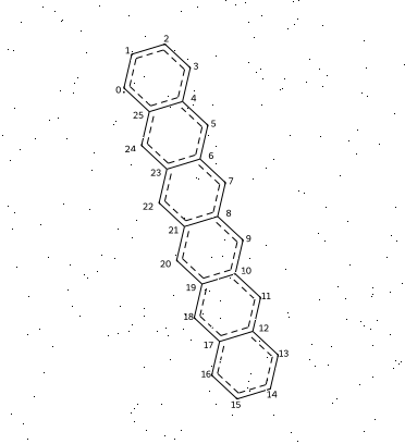 [c]1cccc2cc3cc4cc5cc6ccccc6cc5cc4cc3cc12